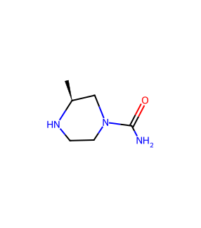 C[C@H]1CN(C(N)=O)CCN1